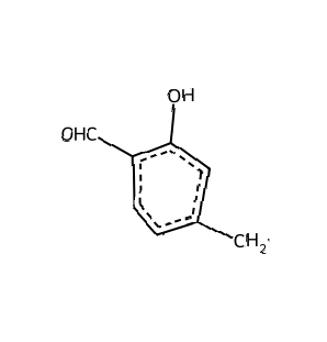 [CH2]c1ccc(C=O)c(O)c1